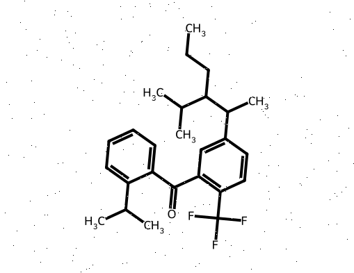 CCCC(C(C)C)C(C)c1ccc(C(F)(F)F)c(C(=O)c2ccccc2C(C)C)c1